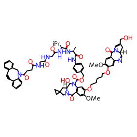 COc1cc2c(cc1OCCCCCOc1cc3c(cc1OC)C(=O)N1CC4(CC4)C[C@H]1C(O)N3C(=O)OCc1ccc(NC(=O)[C@H](C)NC(=O)[C@@H](NC(=O)CNC(=O)CNC(=O)CCC(=O)N3Cc4ccccc4C#Cc4ccccc43)C(C)C)cc1)N=C[C@@H]1CC(CO)=CN1C2=O